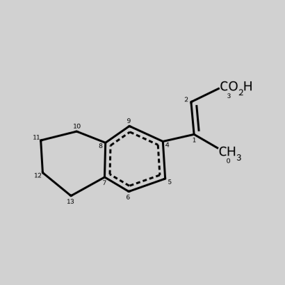 CC(=CC(=O)O)c1ccc2c(c1)CCCC2